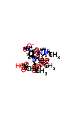 CCN1CCN(S(=O)(=O)c2cc([N+](=O)[O-])ccc2N(CCOS(C)(=O)=O)CCOS(C)(=O)=O)CC1.CS(=O)(=O)O